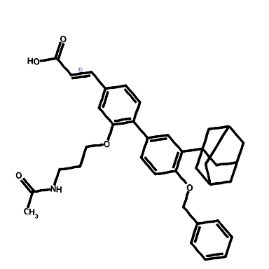 CC(=O)NCCCOc1cc(/C=C/C(=O)O)ccc1-c1ccc(OCc2ccccc2)c(C23CC4CC(CC(C4)C2)C3)c1